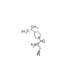 CC(C)C1CCN(C(=O)[C@H](N)CC#N)CC1